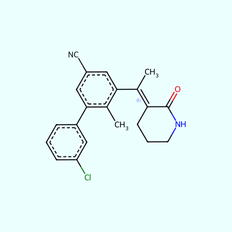 C/C(=C1/CCCNC1=O)c1cc(C#N)cc(-c2cccc(Cl)c2)c1C